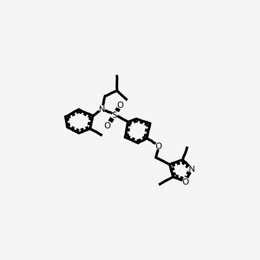 Cc1ccccc1N(CC(C)C)S(=O)(=O)c1ccc(OCc2c(C)noc2C)cc1